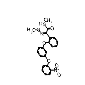 CNC(=O)C(=NOC)c1ccccc1Oc1cccc(Oc2ccccc2[N+](=O)[O-])c1